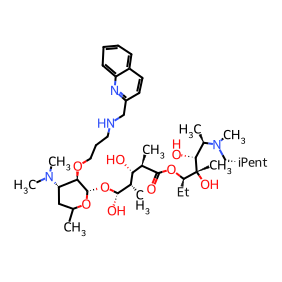 CCC[C@@H](C)CN(C)[C@H](C)[C@@H](O)[C@](C)(O)[C@@H](CC)OC(=O)[C@H](C)[C@@H](O)[C@H](C)[C@H](O)O[C@@H]1OC(C)C[C@H](N(C)C)[C@H]1OCCCNCc1ccc2ccccc2n1